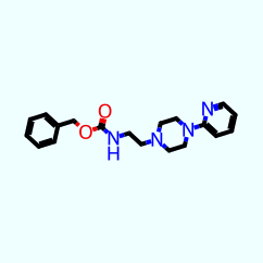 O=C(NCCN1CCN(c2ccccn2)CC1)OCc1ccccc1